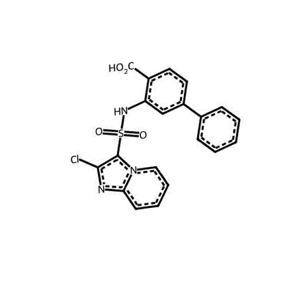 O=C(O)c1ccc(-c2ccccc2)cc1NS(=O)(=O)c1c(Cl)nc2ccccn12